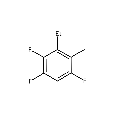 CCc1c(C)c(F)cc(F)c1F